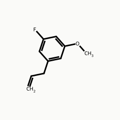 C=CCc1cc(F)cc(OC)c1